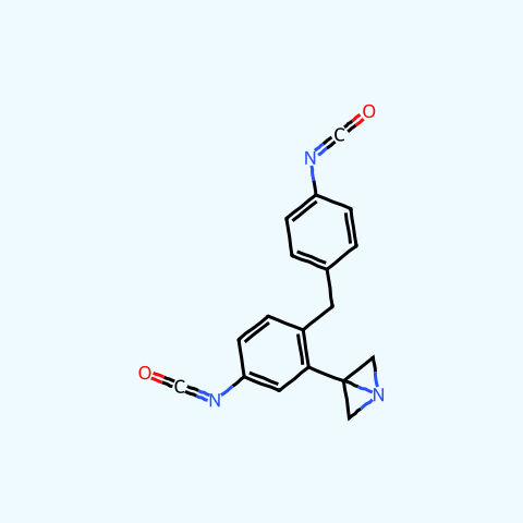 O=C=Nc1ccc(Cc2ccc(N=C=O)cc2C23CN2C3)cc1